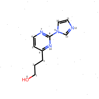 OCCCc1ccnc(-n2ccnc2)n1